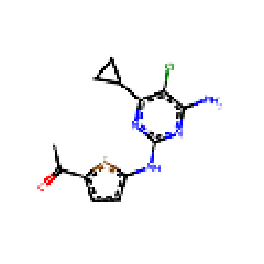 CC(=O)c1ccc(Nc2nc(N)c(Cl)c(C3CC3)n2)s1